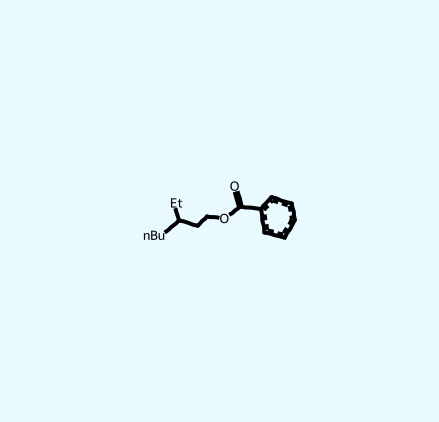 CCCCC(CC)CCOC(=O)c1ccccc1